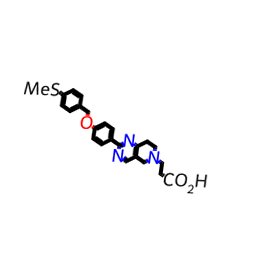 CSc1ccc(COc2ccc(-c3ncc4c(n3)CCN(CCC(=O)O)C4)cc2)cc1